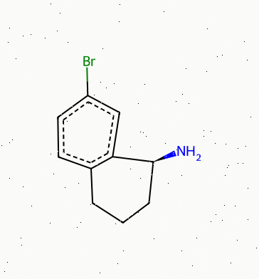 N[C@H]1CCCc2ccc(Br)cc21